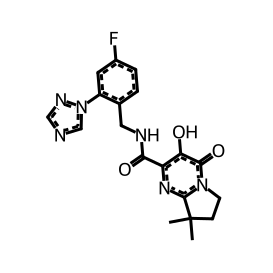 CC1(C)CCn2c1nc(C(=O)NCc1ccc(F)cc1-n1cncn1)c(O)c2=O